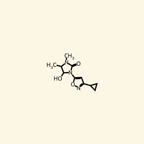 CC1C(O)N(c2cc(C3CC3)no2)C(=O)N1C